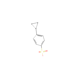 [O]S(=O)(=O)c1ccc(C2CC2)cc1